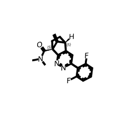 C=C1[C@@H]2CC[C@@]1(C(=O)N(C)C)c1nnc(-c3c(F)cccc3F)cc12